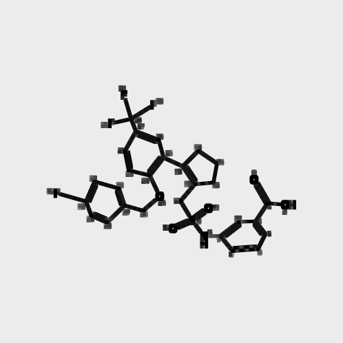 O=C(O)c1cccc(NS(=O)(=O)CC2=C(c3cc(C(F)(F)F)ccc3OCc3ccc(F)cc3)CCC2)c1